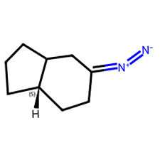 [N-]=[N+]=C1CC[C@@H]2CCCC2C1